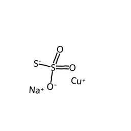 O=S(=O)([O-])[S-].[Cu+].[Na+]